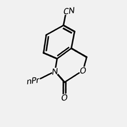 CCCN1C(=O)OCc2cc(C#N)ccc21